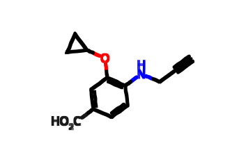 C#CCNc1ccc(C(=O)O)cc1OC1CC1